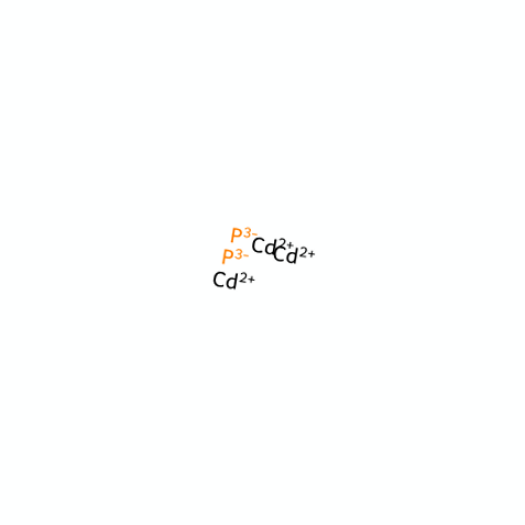 [Cd+2].[Cd+2].[Cd+2].[P-3].[P-3]